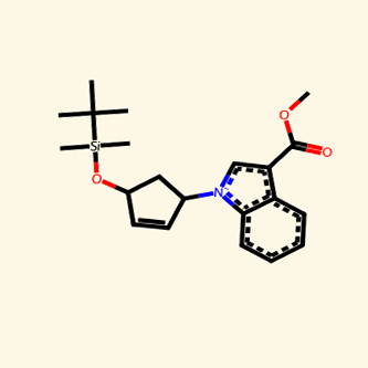 COC(=O)c1cn(C2C=CC(O[Si](C)(C)C(C)(C)C)C2)c2ccccc12